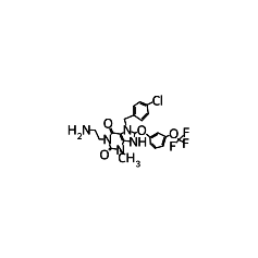 Cn1c2c(c(=O)n(CCN)c1=O)N(Cc1ccc(Cl)cc1)C(Oc1cccc(OC(F)(F)F)c1)N2